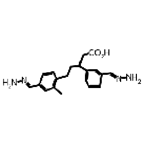 Cc1cc(C=NN)ccc1CCC(CC(=O)O)c1cccc(C=NN)c1